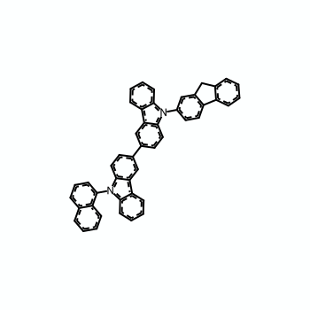 c1ccc2c(c1)Cc1cc(-n3c4ccccc4c4cc(-c5ccc6c(c5)c5ccccc5n6-c5cccc6ccccc56)ccc43)ccc1-2